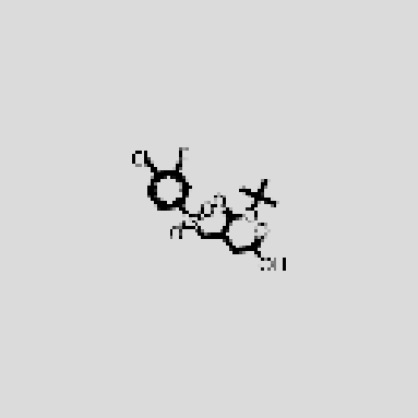 CC(C)(C)OC(=O)C(CC(=O)O)CS(=O)(=O)c1ccc(Cl)c(Cl)c1